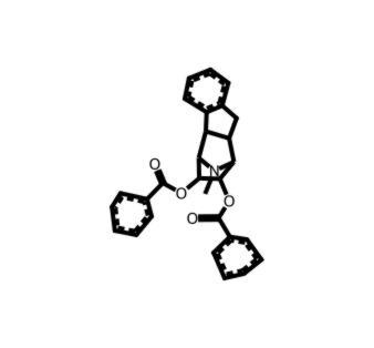 CN1C2C3Cc4ccccc4C3C1C(OC(=O)c1ccccc1)C2OC(=O)c1ccccc1